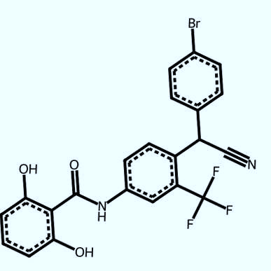 N#CC(c1ccc(Br)cc1)c1ccc(NC(=O)c2c(O)cccc2O)cc1C(F)(F)F